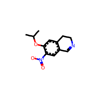 CC(C)Oc1cc2c(cc1[N+](=O)[O-])C=NCC2